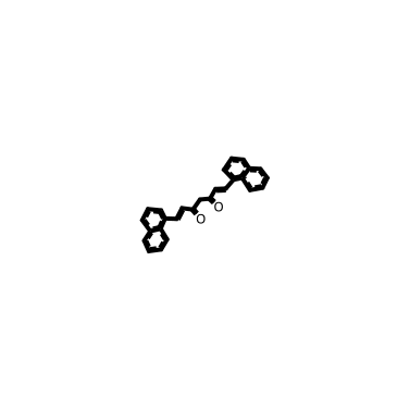 O=C(/C=C/c1cccc2ccccc12)CC(=O)/C=C/c1cccc2ccccc12